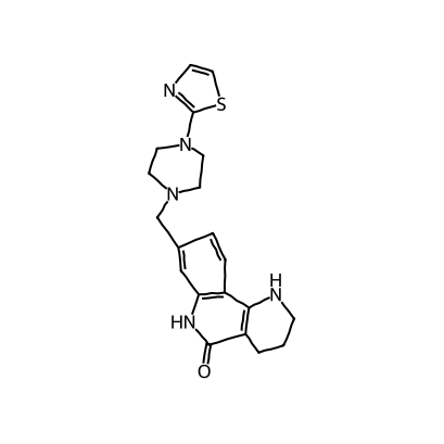 O=c1[nH]c2cc(CN3CCN(c4nccs4)CC3)ccc2c2c1CCCN2